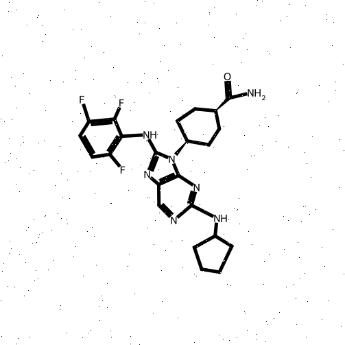 NC(=O)[C@H]1CC[C@@H](n2c(Nc3c(F)ccc(F)c3F)nc3cnc(NC4CCCC4)nc32)CC1